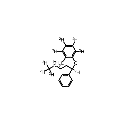 [2H]c1c([2H])c([2H])c(OC([2H])(CCNC([2H])([2H])[2H])c2ccccc2)c(C)c1[2H]